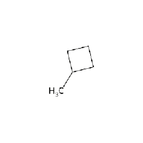 CC1CCC1